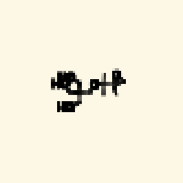 CC(C)(OCC(CO)(CO)CO)C1(C)CO1